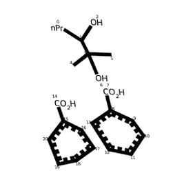 CCCC(O)C(C)(C)O.O=C(O)c1ccccc1.O=C(O)c1ccccc1